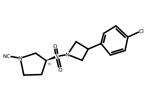 N#CN1CC[C@H](S(=O)(=O)N2CC(c3ccc(Cl)cc3)C2)C1